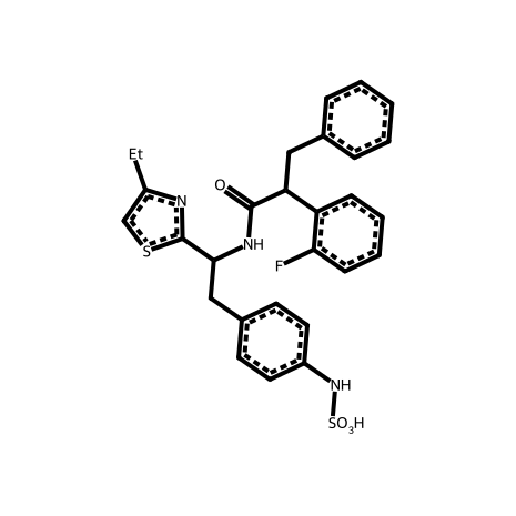 CCc1csc(C(Cc2ccc(NS(=O)(=O)O)cc2)NC(=O)C(Cc2ccccc2)c2ccccc2F)n1